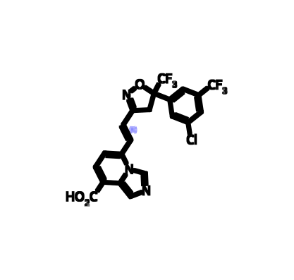 O=C(O)c1ccc(/C=C/C2=NOC(c3cc(Cl)cc(C(F)(F)F)c3)(C(F)(F)F)C2)n2cncc12